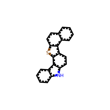 c1ccc2c(c1)ccc1sc3c(ccc4[nH]c5ccccc5c43)c12